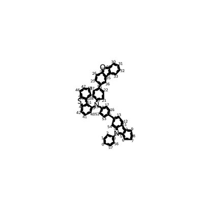 c1ccc(-n2c3ccccc3c3ccc(-c4ccc(N(c5ccc(-c6ccc7oc8ccccc8c7c6)cc5)c5cccc6sc7ccccc7c56)cc4)cc32)cc1